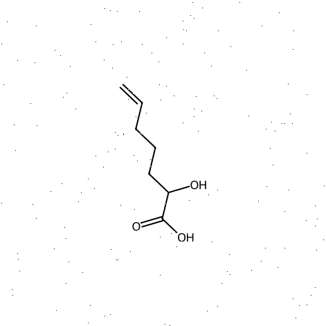 C=CCCCC(O)C(=O)O